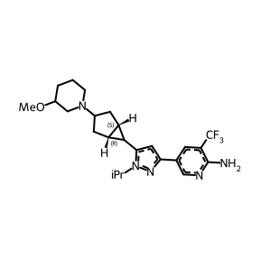 COC1CCCN(C2C[C@@H]3C(c4cc(-c5cnc(N)c(C(F)(F)F)c5)nn4C(C)C)[C@@H]3C2)C1